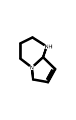 C1=CC2NCCCN2C1